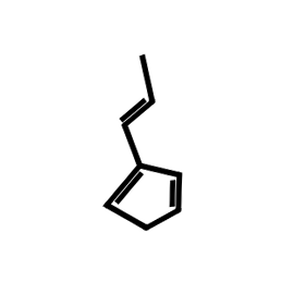 CC=CC1=CCC=C1